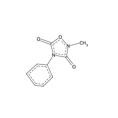 Cn1oc(=O)n(-c2ccccc2)c1=O